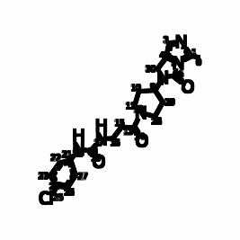 Cc1ncc2n1C(=O)N(C1CCN(C(=O)CCNC(=O)Nc3ccc(Cl)cc3)CC1)C2